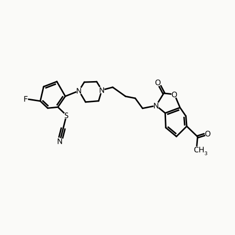 CC(=O)c1ccc2c(c1)oc(=O)n2CCCCN1CCN(c2ccc(F)cc2SC#N)CC1